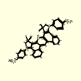 CC1(C)CN(c2ccc(S(=O)(=O)O)cc2)c2c1c1c(c3ccccc23)C=c2c(c3c(c4ccccc24)=[N+](c2ccc(C(=O)O)cc2)CC3(C)C)O1